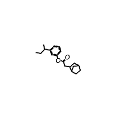 CCC(C)c1cccc(OC(=O)CC2CC3CCC2C3)c1